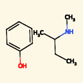 CCC(C)NC.Oc1ccccc1